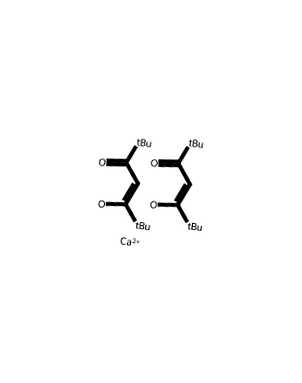 CC(C)(C)C(=O)/C=C(\[O-])C(C)(C)C.CC(C)(C)C(=O)/C=C(\[O-])C(C)(C)C.[Ca+2]